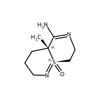 C[C@]12CCCN=[S@]1(=O)CCN=C2N